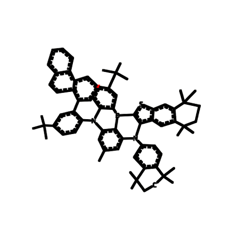 Cc1cc2c3c(c1)N(c1ccc4c(c1)C(C)(C)CCC4(C)C)c1c(sc4cc5c(cc14)C(C)(C)CCC5(C)C)B3c1cc(C(C)(C)C)ccc1N2c1ccc(C(C)(C)C)cc1-c1cccc2c1ccc1ccccc12